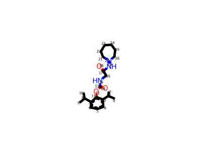 CC(C)c1cccc(C(C)C)c1OC(=O)NCC(=O)NN1CCCCCC1